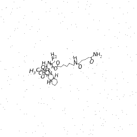 CC(C)(C)NC(=O)[C@@H]1C[C@@H]2CCCC[C@@H]2CN1C[C@@H](OC(=O)CCCCCNC(=O)CCCC(N)=O)[C@@H](N)CP